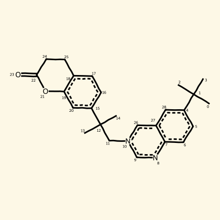 CC(C)(C)c1ccc2nc[n+](CC(C)(C)c3ccc4c(c3)OC(=O)CC4)cc2c1